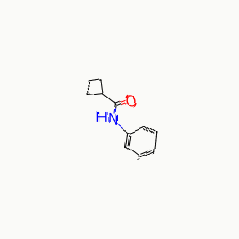 O=C(Nc1c[c]ccc1)C1CCC1